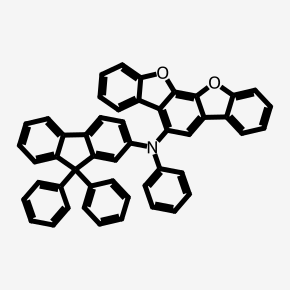 c1ccc(N(c2ccc3c(c2)C(c2ccccc2)(c2ccccc2)c2ccccc2-3)c2cc3c4ccccc4oc3c3oc4ccccc4c23)cc1